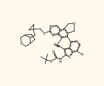 CC(C)(C)OC(=O)Nc1sc2c(F)cnc(-c3c4c(c5cnc(OCC6(CN7C8CCC7COC8)CC6)nc5c3F)COC4)c2c1C#N